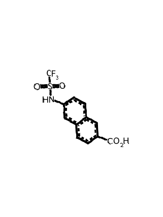 O=C(O)c1ccc2cc(NS(=O)(=O)C(F)(F)F)ccc2c1